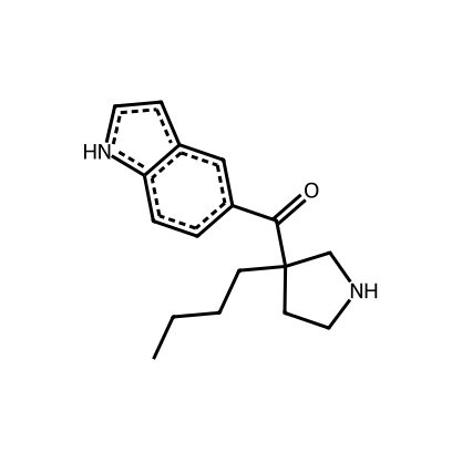 CCCCC1(C(=O)c2ccc3[nH]ccc3c2)CCNC1